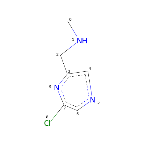 CNCc1cncc(Cl)n1